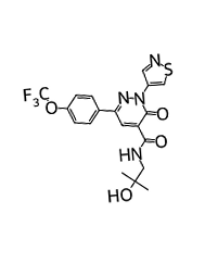 CC(C)(O)CNC(=O)c1cc(-c2ccc(OC(F)(F)F)cc2)nn(-c2cnsc2)c1=O